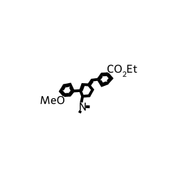 CCOC(=O)c1cccc(/C=C2/C=C(c3cccc(OC)c3)C(CN(C)C)CC2)c1